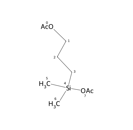 CC(=O)OCCC[Si](C)(C)OC(C)=O